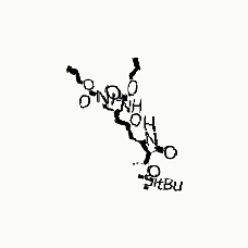 C=CCOC(=O)NC[C@H](CC(=O)C[C@H]1NC(=O)[C@@H]1[C@@H](C)O[Si](C)(C)C(C)(C)C)NC(=O)OCC=C